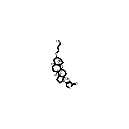 C[C@]12CC[C@H](SCCCN)C[C@H]1CC[C@@H]1[C@@H]2CC[C@]2(C)[C@@H](C3=CC(=O)OC3)CC[C@@H]12